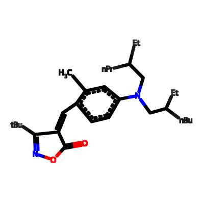 CCCCC(CC)CN(CC(CC)CCC)c1ccc(/C=C2\C(=O)ON=C2C(C)(C)C)c(C)c1